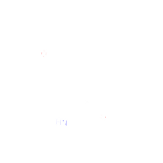 OCc1ccccc1C1CNCCO1